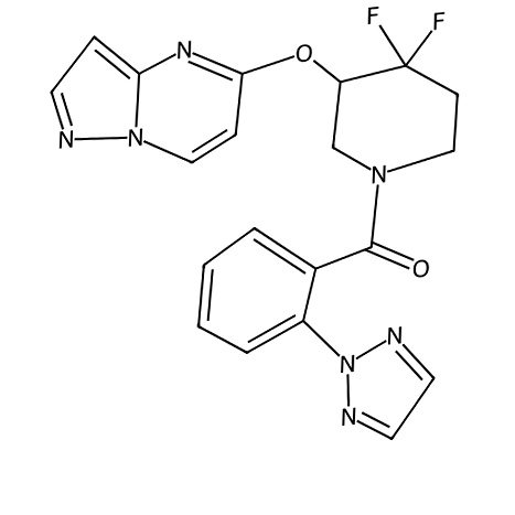 O=C(c1ccccc1-n1nccn1)N1CCC(F)(F)C(Oc2ccn3nccc3n2)C1